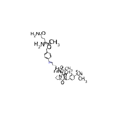 Cc1ncsc1-c1ccc(CNC(=O)[C@@H]2CCCN2C(=O)[C@@H](NC(=O)CCC/C=C/c2ccc(CO[C@H](C)[C@@H](N)CCC(N)=O)cc2)C(C)(C)C)cc1